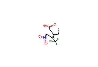 CCC(C(=O)O)C(C[N+](=O)[O-])C(F)(F)F